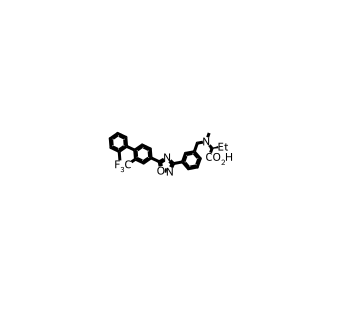 CC[C@@H](C(=O)O)N(C)Cc1cccc(-c2noc(-c3ccc(-c4ccccc4C)c(C(F)(F)F)c3)n2)c1